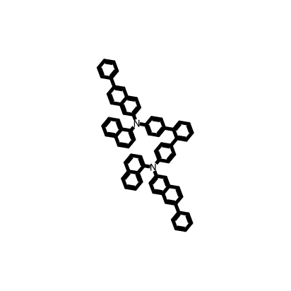 c1ccc(-c2ccc3cc(N(c4ccc(-c5ccccc5-c5ccc(N(c6ccc7cc(-c8ccccc8)ccc7c6)c6cccc7ccccc67)cc5)cc4)c4cccc5ccccc45)ccc3c2)cc1